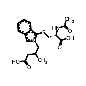 CC(=O)N[C@@H](CSc1c2ccccc2cn1CC(C)CC(=O)O)C(=O)O